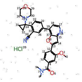 COc1cc(C(=O)N(C)C)ccc1-c1cc2nccc(-c3ccc(C4(N5CCOCC5)CC4)c(C#N)c3)c2o1.Cl